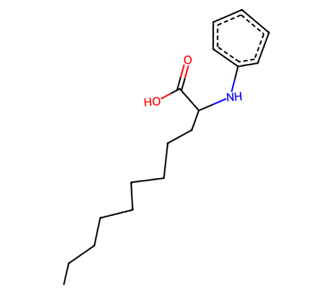 CCCCCCCCCC(Nc1ccccc1)C(=O)O